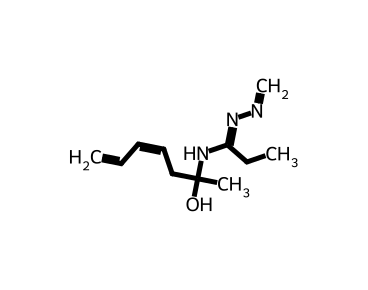 C=C/C=C\CC(C)(O)N/C(CC)=N/N=C